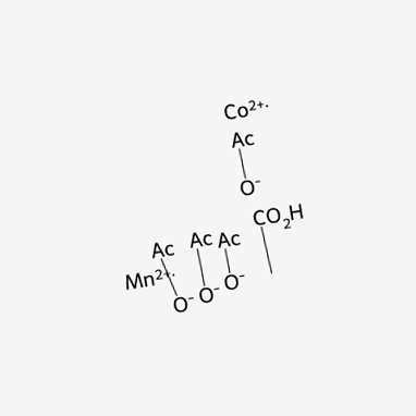 CC(=O)O.CC(=O)[O-].CC(=O)[O-].CC(=O)[O-].CC(=O)[O-].[Co+2].[Mn+2]